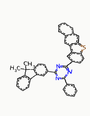 CC1(C)c2ccccc2-c2cc(-c3nc(-c4ccccc4)nc(-c4ccc5sc6cc7ccccc7cc6c5c4)n3)ccc21